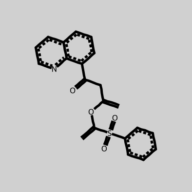 C=C(CC(=O)c1cccc2cccnc12)OC(=C)S(=O)(=O)c1ccccc1